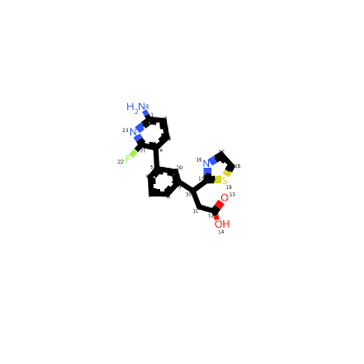 Nc1ccc(-c2cccc(C(CC(=O)O)c3nccs3)c2)c(F)n1